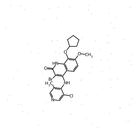 COc1ccc2c(Nc3c(C)cncc3Cl)c(Br)c(=O)[nH]c2c1OC1CCCC1